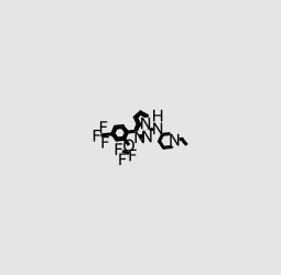 CCN1CCCC(Nc2nnc(-c3ccc(C(F)(F)F)cc3OC(F)(F)F)c3cccn23)C1